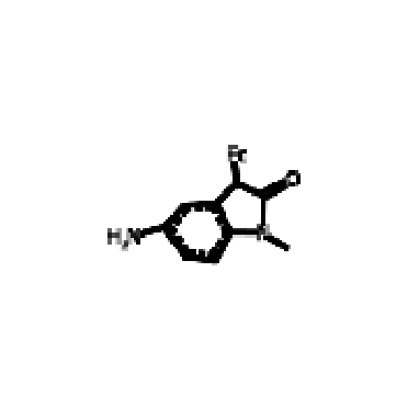 CN1C(=O)[CH]([Fe])c2cc(N)ccc21